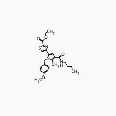 CCCCNC(=O)c1cc(-c2csc(C(=O)OCC)n2)n(Cc2ccc(OC)cc2)c1C